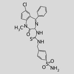 CN1C(=O)C(NC(=S)NCc2ccc(S(N)(=O)=O)cc2)N=C(c2ccccc2)c2cc(Cl)ccc21